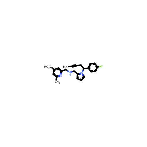 CC#CCC(c1ccc(F)cc1)n1cccc1CNCc1cc(C(=O)O)cc(C)n1